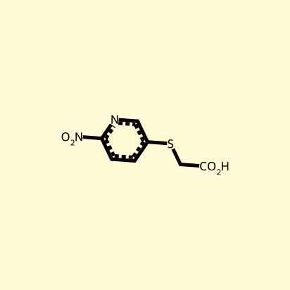 O=C(O)CSc1ccc([N+](=O)[O-])nc1